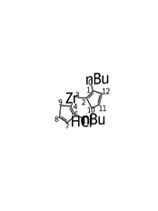 CCCCC1=[C]([Zr][C]2=C(CCCC)C=CC2)CC=C1.Cl